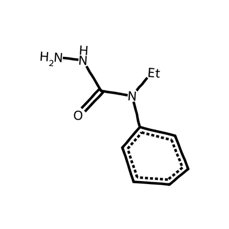 CCN(C(=O)NN)c1ccccc1